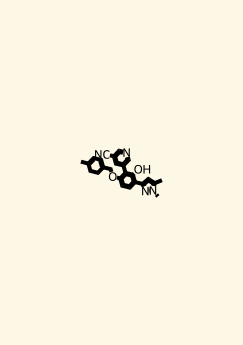 CC1=CC=C(COc2ccc(-c3cc(C)n(C)n3)c(O)c2-c2cncc(C#N)c2)CC1